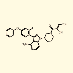 CC(C)(C)/C=C(\C#N)C(=O)N1CCC[C@@H](n2nc(-c3ccc(Oc4ccccc4)cc3F)c3c(N)nccc32)C1